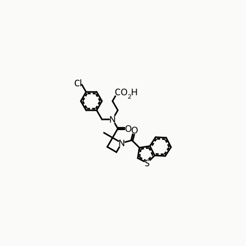 CC1(C(=O)N(CCC(=O)O)Cc2ccc(Cl)cc2)CCN1C(=O)c1csc2ccccc12